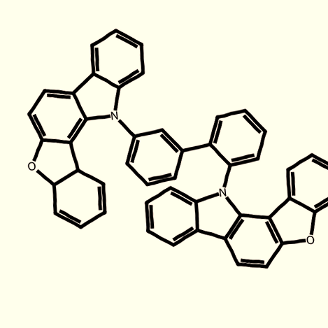 C1=CC2Oc3ccc4c5ccccc5n(-c5cccc(-c6ccccc6-n6c7ccccc7c7ccc8oc9ccccc9c8c76)c5)c4c3C2C=C1